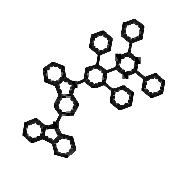 c1ccc(-c2nc(-c3ccccc3)nc(-c3c(-c4ccccc4)cc(-n4c5ccccc5c5cc(-n6c7ccccc7c7ccccc76)ccc54)cc3-c3ccccc3)n2)cc1